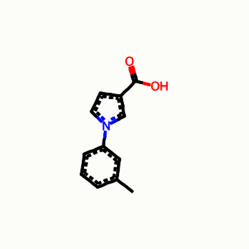 Cc1cccc(-n2ccc(C(=O)O)c2)c1